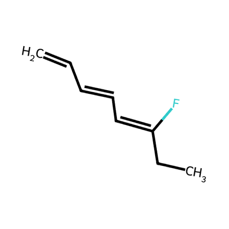 C=CC=CC=C(F)CC